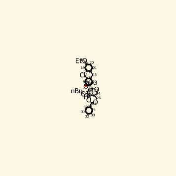 CCCCO[C@@H]1[C@@H](OCCCC)[C@@]2(c3ccc(Cl)c(Cc4ccc(OCC)cc4)c3)OC[C@]3(COC(c4ccccc4)O[C@@H]13)O2